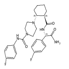 NC(=O)[C@@H](NC(=O)[C@@H]1CCCC[C@H]1N1CCN(C(=O)Nc2ccc(F)cc2)CC1)c1ccc(F)cc1